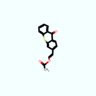 CC(=O)OC=Cc1ccc2c(=O)c3ccccc3sc2c1